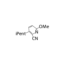 CCCC(C)c1ccc(OC)nc1C#N